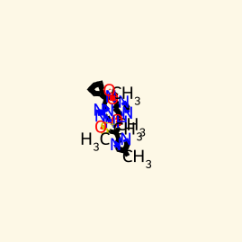 COc1ncnc(OC)c1-n1c(N[S+]([O-])C(C)C(C)c2ncc(C)cn2)nnc1-c1noc2ccccc12